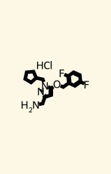 Cl.NCc1cc(OCc2cc(F)ccc2F)n(CC2CCCC2)n1